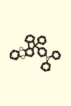 c1ccc(N(c2ccccc2)c2ccc(C3(c4ccccc4)c4ccccc4-c4c3ccc3c4Oc4ccccc4O3)cc2)cc1